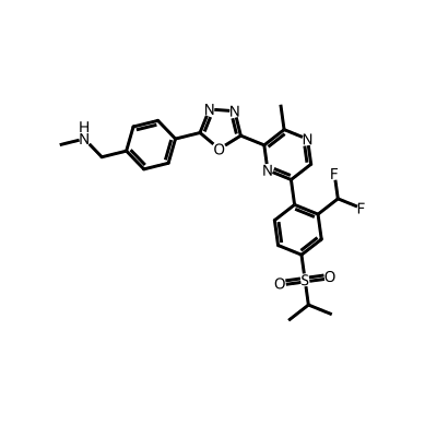 CNCc1ccc(-c2nnc(-c3nc(-c4ccc(S(=O)(=O)C(C)C)cc4C(F)F)cnc3C)o2)cc1